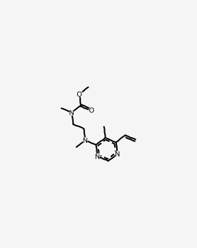 C=Cc1ncnc(N(C)CCN(C)C(=O)OC)c1C